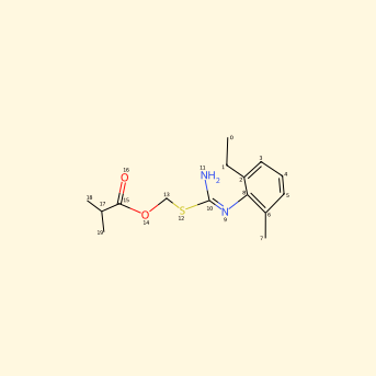 CCc1cccc(C)c1/N=C(\N)SCOC(=O)C(C)C